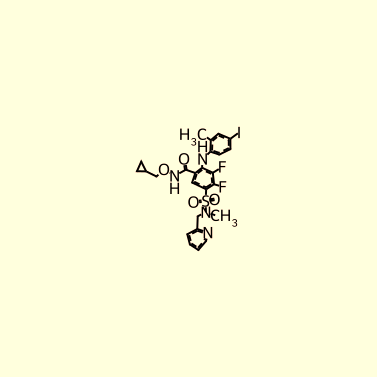 Cc1cc(I)ccc1Nc1c(C(=O)NOCC2CC2)cc(S(=O)(=O)N(C)Cc2ccccn2)c(F)c1F